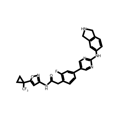 O=C(Cc1ccc(-c2cnc(Nc3ccc4c(c3)CNC4)nc2)cc1F)Nc1cc(C2(C(F)(F)F)CC2)on1